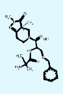 CN1N=C2CCN(C(=O)C(COCc3ccccc3)NC(=O)C(C)(C)N)C[C@]2(C)C1=O.Cl